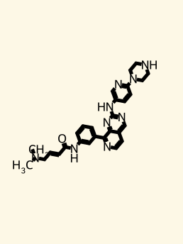 CN(C)CC=CC(=O)Nc1cccc(-c2nccc3cnc(Nc4ccc(N5CCNCC5)nc4)nc23)c1